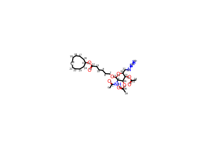 CC(=O)NC1C(OCCCCCC(=O)OC2CCCCCCCCC2)OC(CN=[N+]=[N-])C(OC(C)=O)C1OC(C)=O